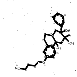 CCC12CC(C)(O)C(O)(c3ccccc3)CC1CCc1cc(OCCCCC#N)ccc12